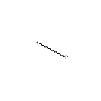 C[N+](C)(C)CCCCCCCCCCCCCCCCNC[SiH3]